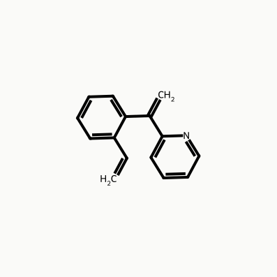 C=Cc1ccccc1C(=C)c1ccccn1